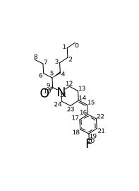 CCCCC[C@H](CCC)C(=O)N1CCC(=Cc2ccc(F)cc2)CC1